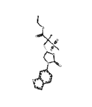 CCOC(=O)[C@@](C)(C[C@H]1CN(c2ccc3ccsc3c2)C(=O)O1)S(C)(=O)=O